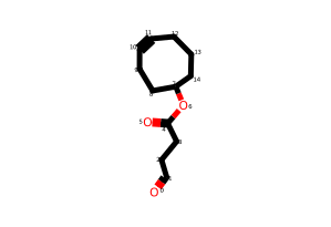 O=CCCC(=O)OC1CCC#CCCC1